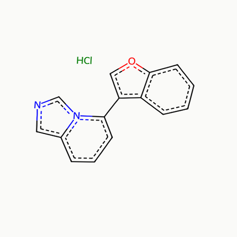 Cl.c1ccc2c(-c3cccc4cncn34)coc2c1